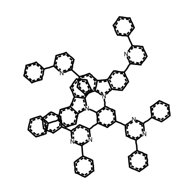 c1ccc(-c2ccc3c(c2)c2ccccc2n3-c2c(-c3cc(-c4ccccc4)nc(-c4ccccc4)n3)cc(-c3cc(-c4ccccc4)nc(-c4ccccc4)n3)cc2-n2c3ccc(-c4cccc(-c5ccccc5)n4)cc3c3cc(-c4cccc(-c5ccccc5)n4)ccc32)cc1